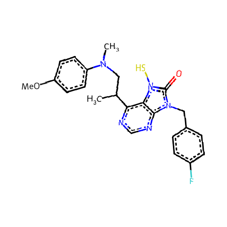 COc1ccc(N(C)CC(C)c2ncnc3c2n(S)c(=O)n3Cc2ccc(F)cc2)cc1